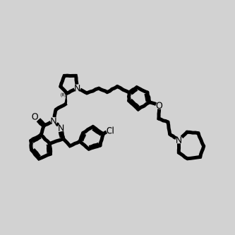 O=c1c2ccccc2c(Cc2ccc(Cl)cc2)nn1CC[C@H]1CCCN1CCCCc1ccc(OCCCN2CCCCCC2)cc1